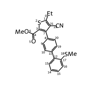 CCc1sc(C(=O)OC)c(-c2ccc(-c3ccccc3SC)cc2)c1C#N